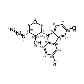 [N-]=[N+]=N[C@@H]1COC[C@H](n2c3ccc(Cl)cc3c3cc(Cl)ccc32)[C@H]1O